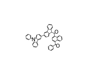 O=C(c1ccccc1)c1ccc(C(=O)C2c3ccccc3-c3cc(-c4ccc5c(c4)c4ccccc4n5-c4ccccc4)ccc32)c2ccccc12